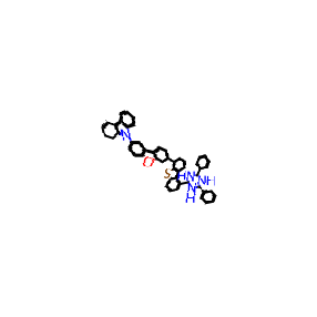 C1=Cc2c(n(-c3ccc4oc5cc(-c6cccc7c6sc6cccc(C8NC(c9ccccc9)NC(c9ccccc9)N8)c67)ccc5c4c3)c3ccccc23)CC1